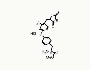 COC(=O)[C@@H](N)Cc1ccc(Oc2ccc(CC3SC(=S)NC3=O)c(C(F)(F)F)c2)cc1.Cl